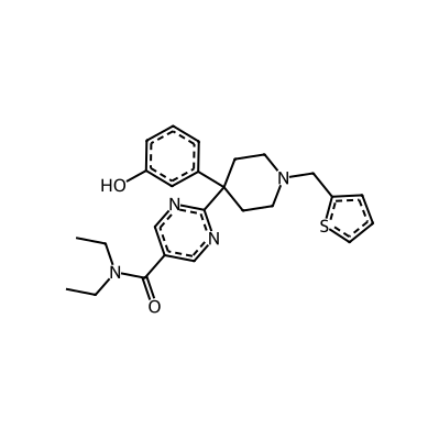 CCN(CC)C(=O)c1cnc(C2(c3cccc(O)c3)CCN(Cc3cccs3)CC2)nc1